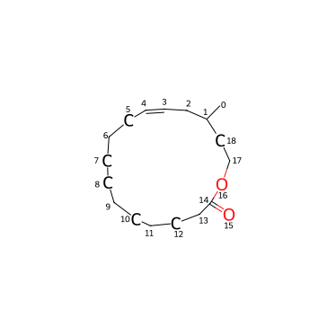 CC1CC=CCCCCCCCCCC(=O)OCC1